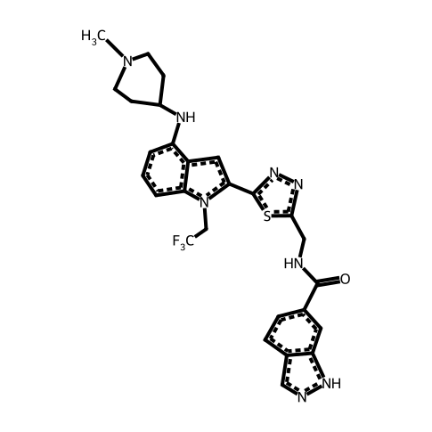 CN1CCC(Nc2cccc3c2cc(-c2nnc(CNC(=O)c4ccc5cn[nH]c5c4)s2)n3CC(F)(F)F)CC1